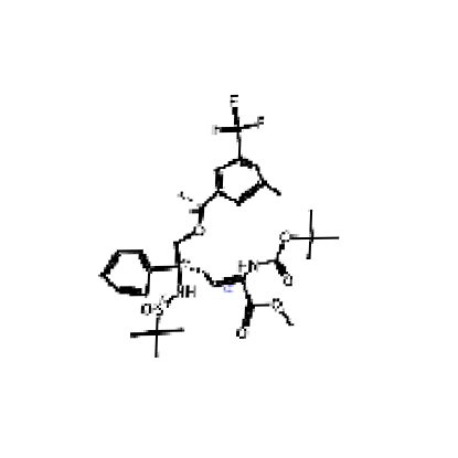 COC(=O)/C(=C/C[C@](CO[C@H](C)c1cc(C)cc(C(F)(F)F)c1)(N[S@+]([O-])C(C)(C)C)c1ccccc1)NC(=O)OC(C)(C)C